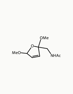 COC1C=CC(CNC(C)=O)(OC)O1